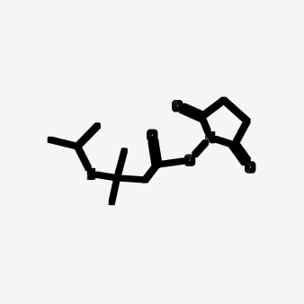 CC(C)SC(C)(C)CC(=O)ON1C(=O)CCC1=O